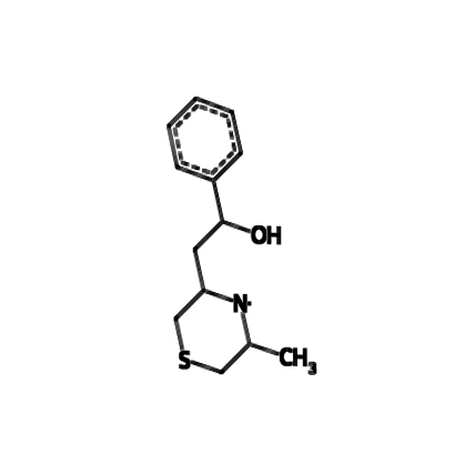 CC1CSCC(CC(O)c2ccccc2)[N]1